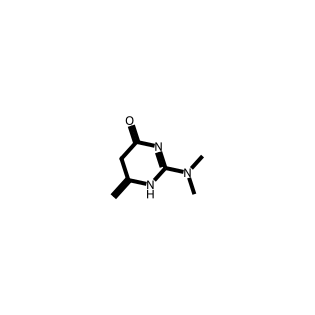 C=C1CC(=O)N=C(N(C)C)N1